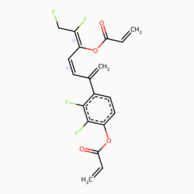 C=CC(=O)OC(/C=C\C(=C)c1ccc(OC(=O)C=C)c(F)c1F)=C(\F)CF